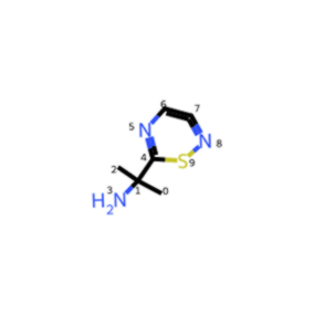 CC(C)(N)C1=NC=C=NS1